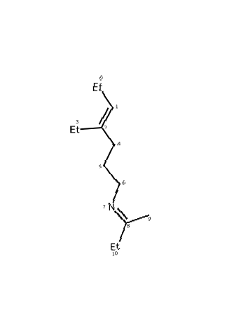 CC/C=C(\CC)CCC/N=C(\C)CC